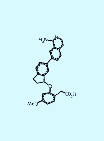 CCOC(=O)Cc1ccc(OC)cc1OC1CCc2ccc(-c3ccc4ccnc(N)c4c3)cc21